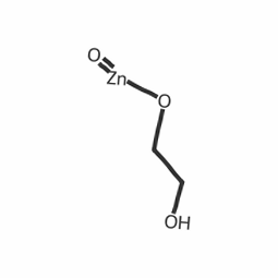 [O]=[Zn][O]CCO